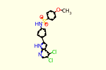 COc1ccc(S(=O)(=O)Nc2ccc(-c3cc4c(Cl)c(Cl)cnc4[nH]3)cc2)cc1